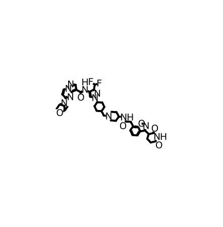 O=C1CCC(c2noc3c(CC(=O)NC4CCN(CC5CCC(n6cc(NC(=O)c7cnn8ccc(N9CC%10CC9CO%10)nc78)c(C(F)F)n6)CC5)CC4)cccc23)C(=O)N1